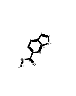 CC(C)NC(=O)c1ccc2ccsc2c1